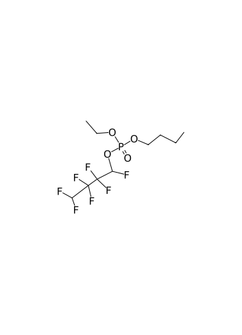 CCCCOP(=O)(OCC)OC(F)C(F)(F)C(F)(F)C(F)F